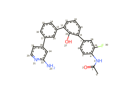 CC(=O)Nc1ccc(-c2cccc(-c3cccc(-c4ccnc(N)c4)c3)c2O)cc1F